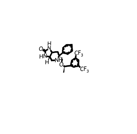 C[C@@H](OC[C@@]1(c2ccccc2)CC2NC(=O)N[C@H]2CN1)c1cc(C(F)(F)F)cc(C(F)(F)F)c1